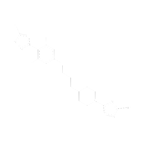 Cc1nnc(-c2c(F)cc(OCCCC3CCN(c4nc(C(C)C)no4)CC3)cc2F)o1